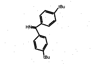 CC(C)(C)c1ccc(C(=N)c2ccc(C(C)(C)C)cc2)cc1